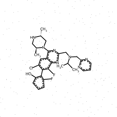 CC(C)N(Cc1ncccn1)Cc1nc(N2C[C@@H](C)NC[C@@H]2C)c2cc(Cl)c(-c3c(O)cccc3F)c(F)c2n1